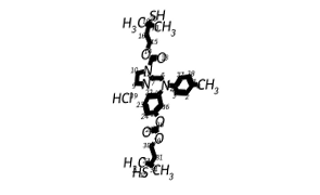 Cc1ccc(N(CC2=NCCN2C(=O)OCCC(C)(C)S)c2cccc(OC(=O)OCCC(C)(C)S)c2)cc1.Cl